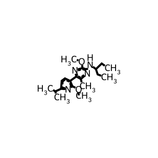 CCC(CC)Nc1nc(C)c(-c2ccc(C(C)C)nc2OC)nc1OC